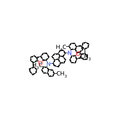 Cc1ccc2ccc(C)c(N(c3ccc4ccc5c(N(c6c(C)ccc7ccc(C)cc67)c6cccc7c6oc6c(-c8ccccc8)cccc67)ccc6ccc3c4c65)c3cccc4c3oc3c(-c5ccccc5)cccc34)c2c1